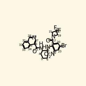 O=C(NC1CCCCC1Nc1c(C(=O)N2CC(F)(F)C2)cc(Br)cc1[N+](=O)[O-])c1cncc2ccccc12